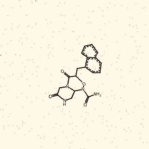 NC(=O)N1OC(Cc2cccc3ccccc23)C(=O)N2CC(=O)NCC21